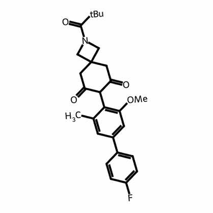 COc1cc(-c2ccc(F)cc2)cc(C)c1C1C(=O)CC2(CC1=O)CN(C(=O)C(C)(C)C)C2